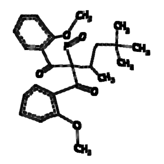 COc1ccccc1C(=O)C(P=O)(C(=O)c1ccccc1OC)C(C)CC(C)(C)C